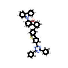 c1ccc(-c2nc(-c3ccccc3)nc(-c3ccc4c(c3)sc3ccc(-c5cccc6oc7c(-n8c9ccccc9c9ccccc98)cccc7c56)cc34)n2)cc1